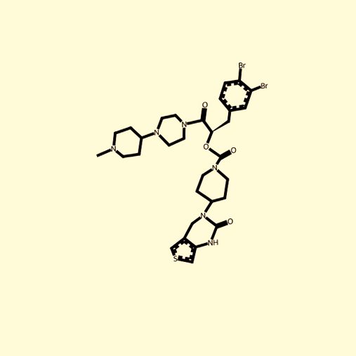 CN1CCC(N2CCN(C(=O)[C@@H](Cc3ccc(Br)c(Br)c3)OC(=O)N3CCC(N4Cc5cscc5NC4=O)CC3)CC2)CC1